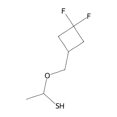 CC(S)OCC1CC(F)(F)C1